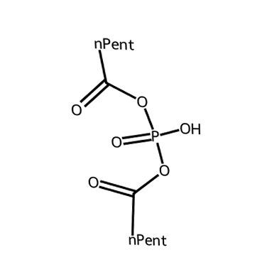 CCCCCC(=O)OP(=O)(O)OC(=O)CCCCC